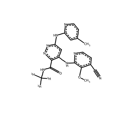 [2H]C([2H])([2H])NC(=O)c1nnc(Nc2cc(C)ccn2)cc1Nc1nccc(C#N)c1OC